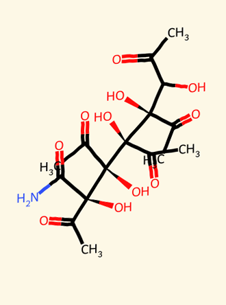 CC(=O)C(O)[C@](O)(C(C)=O)[C@](O)(C(C)=O)[C@@](O)(C(C)=O)[C@](O)(C(C)=O)C(N)=O